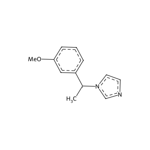 COc1cccc([C](C)n2ccnc2)c1